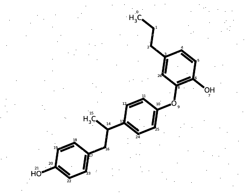 CCCc1ccc(O)c(Oc2ccc(C(C)Cc3ccc(O)cc3)cc2)c1